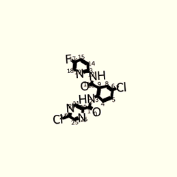 O=C(Nc1ccc(Cl)cc1C(=O)Nc1ccc(F)cn1)c1cnc(Cl)cn1